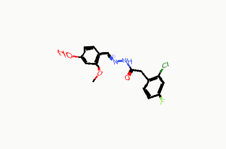 COc1cc(O)ccc1/C=N/NC(=O)Cc1ccc(F)cc1Cl